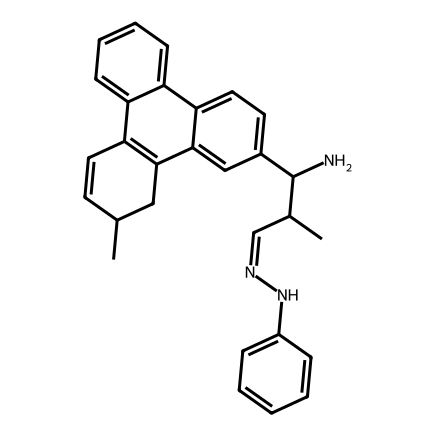 CC1C=Cc2c(c3cc(C(N)C(C)/C=N\Nc4ccccc4)ccc3c3ccccc23)C1